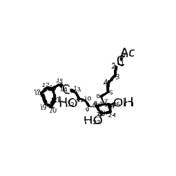 CC(=O)CCCCCC[C@@H]1[C@@H](CCC(O)C=C=Cc2ccccc2)[C@H](O)C[C@@H]1O